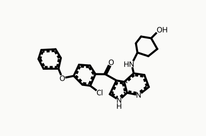 O=C(c1ccc(Oc2ccccc2)cc1Cl)c1c[nH]c2nccc(NC3CCC(O)CC3)c12